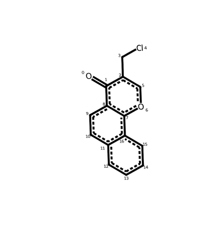 O=c1c(CCl)coc2c1ccc1ccccc12